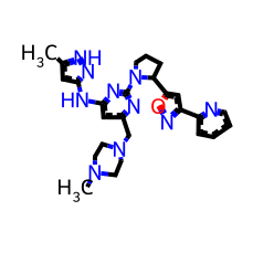 Cc1cc(Nc2cc(CN3CCN(C)CC3)nc(N3CCCC3c3cc(-c4ccccn4)no3)n2)n[nH]1